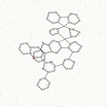 c1ccc(-c2cc(-c3cccc(-c4cccc5c4-c4cc6c(cc4C54c5ccccc5C5(c7ccccc7-c7ccccc75)c5ccccc54)sc4ccccc46)c3)nc(-c3ccc4ccccc4c3)n2)cc1